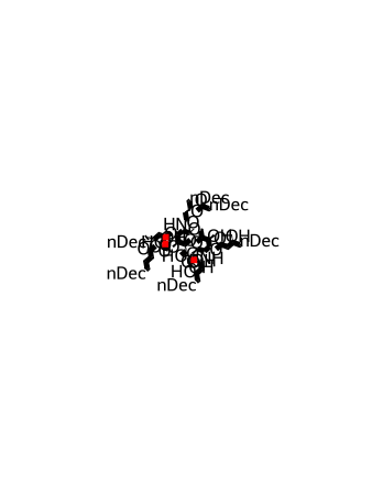 CCCCCCCCCCCCCC(=O)O[C@H](CCCCCCCCCCC)CC(=O)OC1C(NC(=O)C[C@@H](CCCCCCCCCCC)OC(=O)CCCCCCCCCCC)[C@H](OCC2O[C@H](OP(=O)(O)O)C(NC(=O)C[C@H](O)CCCCCCCCCCC)C(OC(=O)C[C@H](O)CCCCCCCCCCC)[C@@H]2O)O[C@H](CO)[C@H]1OP(=O)(O)O